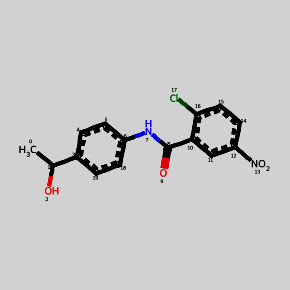 CC(O)c1ccc(NC(=O)c2cc([N+](=O)[O-])ccc2Cl)cc1